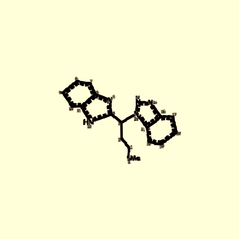 CSCCC(c1nc2ccccc2[nH]1)n1nnc2ccccc21